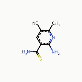 Cc1nc(N)c(C(N)=S)cc1C#N